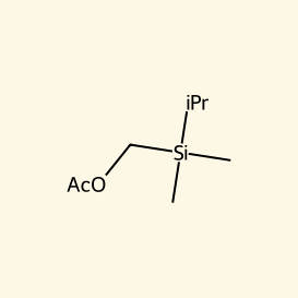 CC(=O)OC[Si](C)(C)C(C)C